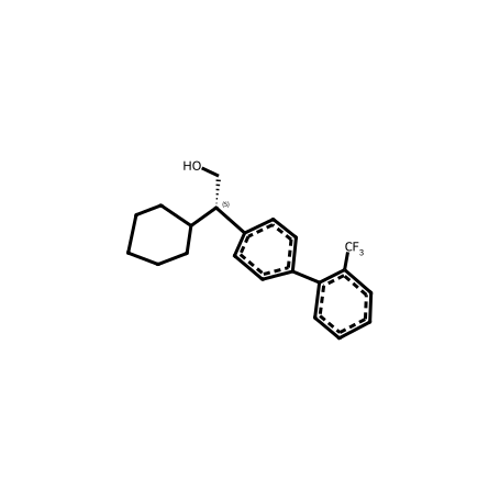 OC[C@H](c1ccc(-c2ccccc2C(F)(F)F)cc1)C1CCCCC1